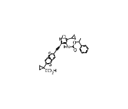 CC(OC(=O)Nc1c(C#Cc2cc3sc(C4(C(=O)O)CC4)cc3s2)noc1C1CC1)c1ccccc1